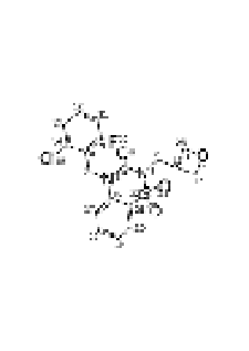 CC1(CN2C(=O)N(Cc3c(F)cccc3Cl)c3ccccc3S2(=O)=O)COC1